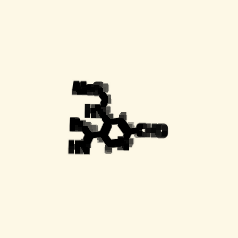 CSCNc1cc(C=O)ncc1C(=N)Br